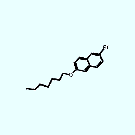 CCCCCCCOc1ccc2cc(Br)ccc2c1